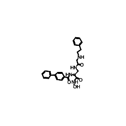 O=C(CNCCc1ccccc1)NC[C@H](NC(=O)c1ccc(-c2ccccc2)cc1)C(=O)NO